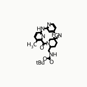 Cc1ccc(Nc2cc(C#N)ccn2)nc1C(=O)N1CC(F)(F)CCC1CNC(=O)OC(C)(C)C